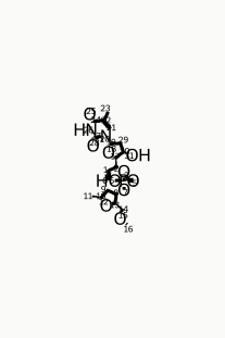 C=CC(OP(=O)(O)O[C@@H]1C[C@H](C)O[C@@H]1COC)[C@H]1O[C@@H](n2cc(C)c(=O)[nH]c2=O)C[C@H]1O